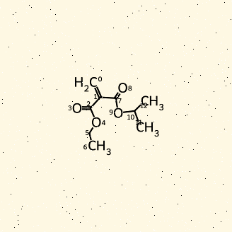 C=C(C(=O)OCC)C(=O)OC(C)C